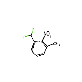 Cc1cccc(C(F)F)c1[N+](=O)[O-]